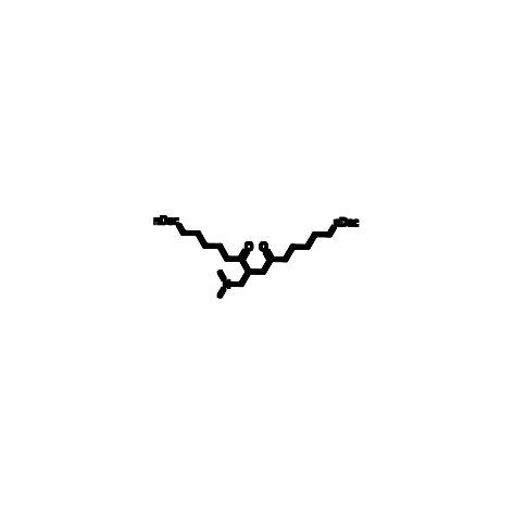 CCCCCCCCCCCCCCCC(=O)CC(CN(C)C)C(=O)CCCCCCCCCCCCCCC